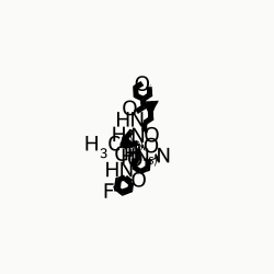 CC1(C)[C@@H]2[C@@H](C(=O)N[C@H](C#N)CC3Oc4ccc(F)cc4NC3=O)N(C(=O)C(CC3CC3)NC(=O)CC3CCOCC3)C[C@@H]21